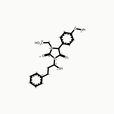 CCCOc1ccc(C2C(=O)N(C(S)CCc3ccccc3)C(=O)N2CC(=O)O)cc1